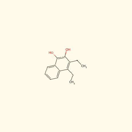 CCc1c(O)c(O)c2ccccc2c1CC